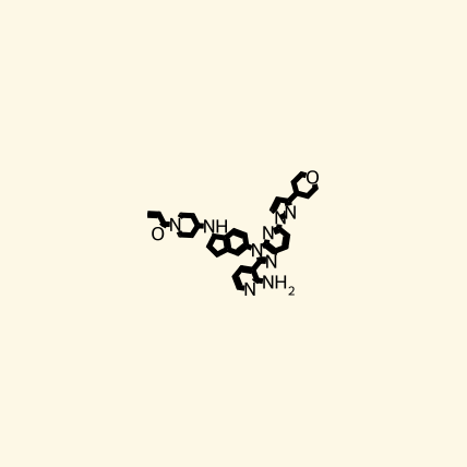 C=CC(=O)N1CCC(N[C@H]2CCc3cc(-n4c(-c5cccnc5N)nc5ccc(-n6ccc(C7CCOCC7)n6)nc54)ccc32)CC1